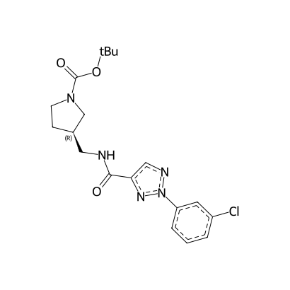 CC(C)(C)OC(=O)N1CC[C@H](CNC(=O)c2cnn(-c3cccc(Cl)c3)n2)C1